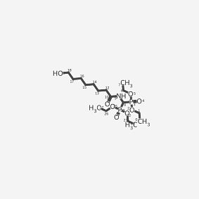 CCOP(=O)(OCC)C(NC(=O)CCCCCCCO)P(=O)(OCC)OCC